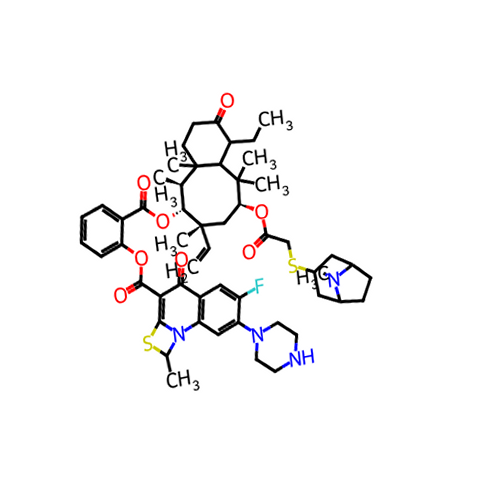 C=C[C@@]1(C)C[C@H](OC(=O)CSC2CC3CCC(C2)N3C)C(C)(C)C2C(CC)C(=O)CCC2(C)[C@H](C)[C@H]1OC(=O)c1ccccc1OC(=O)c1c2n(c3cc(N4CCNCC4)c(F)cc3c1=O)C(C)S2